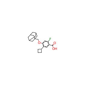 O=C(O)c1cc(C2CCC2)c(OCC23CC4CC(CC(C4)C2)C3)cc1F